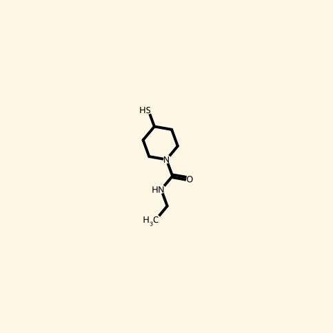 CCNC(=O)N1CCC(S)CC1